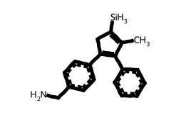 CC1=C([SiH3])CC(c2ccc(CN)cc2)=C1c1ccccc1